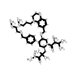 CNC(=O)C(C)(C)C[C@H]1C[C@H](c2ccc(COCCOC)cc2)[C@@H](OCc2ccc3c(c2)N(CCCOC)CCO3)CN1C(=O)[C@@H](N)C(C)C